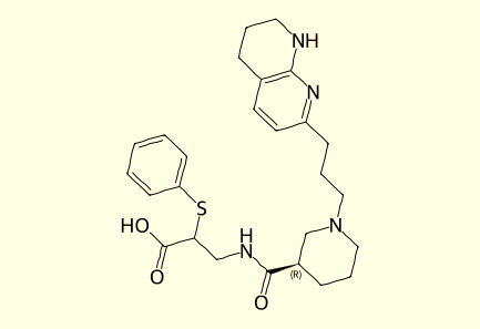 O=C(O)C(CNC(=O)[C@@H]1CCCN(CCCc2ccc3c(n2)NCCC3)C1)Sc1ccccc1